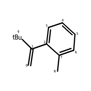 C=C(c1ccccc1C)C(C)(C)C